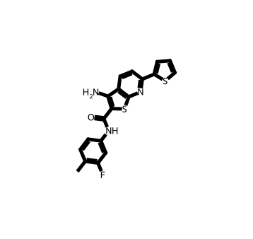 Cc1ccc(NC(=O)c2sc3nc(-c4cccs4)ccc3c2N)cc1F